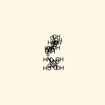 O=C(O)CC[C@H](NP(=O)(O)OCC[C@H](NC[C@H](NC(=O)c1ccc(CCNC(=O)CN2CCN(CC(=O)O)CCN(CC(=O)O)CCN(CC(=O)O)CC2)cc1)C(=O)O)C(=O)O)C(=O)O